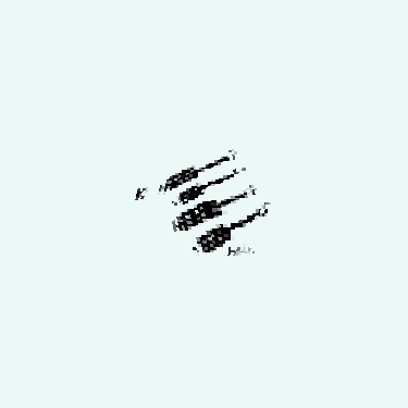 N#C[S-].N#C[S-].N#C[S-].N#C[S-].[Fe+3].[K+]